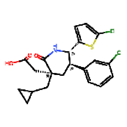 O=C(O)C[C@@]1(CC2CC2)C[C@H](c2cccc(Cl)c2)[C@@H](c2ccc(Cl)s2)NC1=O